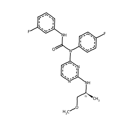 COC[C@H](C)Nc1nccc(N(C(=O)Nc2cccc(F)c2)c2ccc(F)cc2)n1